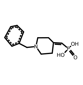 O=P(O)(O)C=C1CCN(Cc2ccccc2)CC1